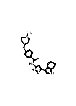 CN1CCC(Nc2ccc(C(=O)Nc3cc(-c4c[nH]c5ccccc45)n[nH]3)cc2)CC1